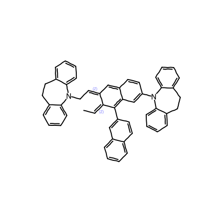 C/C=c1/c(-c2ccc3ccccc3c2)c2cc(N3c4ccccc4CCc4ccccc43)ccc2c/c1=C/CN1c2ccccc2CCc2ccccc21